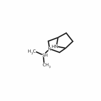 C[SH](C)N1CC2CCC(C1)N2